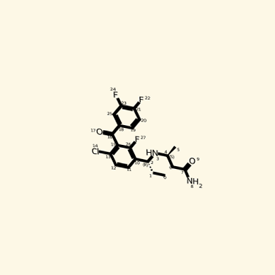 CC[C@@H](N[C@@H](C)CC(N)=O)c1ccc(Cl)c(C(=O)c2ccc(F)c(F)c2)c1F